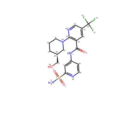 NS(=O)(=O)c1cc(NC(=O)c2cc(C(F)(F)F)cnc2N2CCC[C@H](CO)C2)ccn1